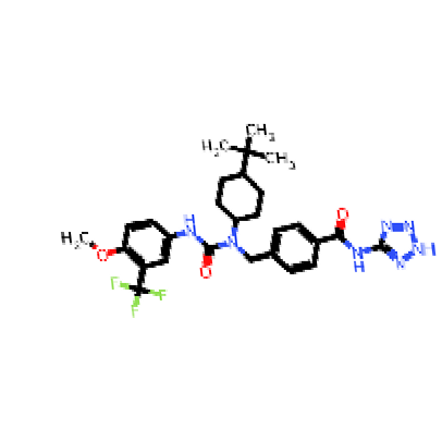 COc1ccc(NC(=O)N(Cc2ccc(C(=O)Nc3nn[nH]n3)cc2)C2CCC(C(C)(C)C)CC2)cc1C(F)(F)F